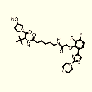 CC(C)(C)[C@H](NC(=O)CCCCCNC(=O)COc1c(-c2csc(N3CCOCC3)n2)ccc(F)c1F)C(=O)N1CC[C@@H](O)C1